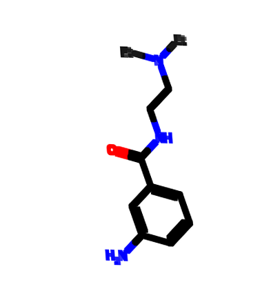 CCN(CC)CCNC(=O)c1cccc(N)c1